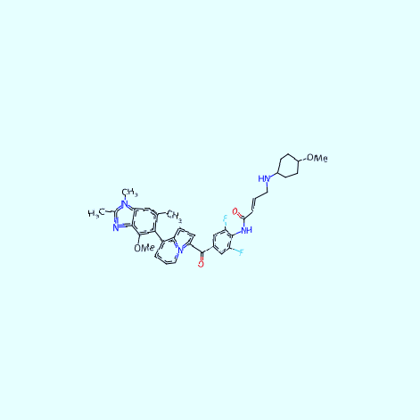 COc1c(-c2cccn3c(C(=O)c4cc(F)c(NC(=O)/C=C/CNC5CCC(OC)CC5)c(F)c4)ccc23)c(C)cc2c1nc(C)n2C